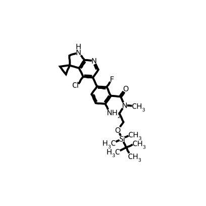 CN(CCO[Si](C)(C)C(C)(C)C)C(=O)c1c(N)ccc(-c2cnc3c(c2Cl)C2(CC2)CN3)c1F